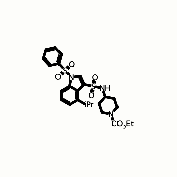 CCOC(=O)N1CCC(NS(=O)(=O)c2cn(S(=O)(=O)c3ccccc3)c3cccc(C(C)C)c23)CC1